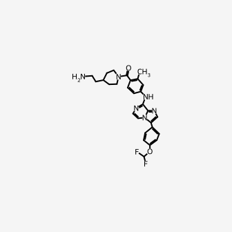 Cc1cc(Nc2nccn3c(-c4ccc(OC(F)F)cc4)cnc23)ccc1C(=O)N1CCC(CCN)CC1